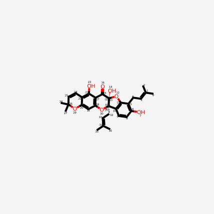 CC(C)=CCc1c(O)ccc2c1O[C@]1(O)C(=O)c3c(cc4c(c3O)C=CC(C)(C)O4)O[C@]21CC=C(C)C